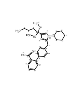 CCCCC(OC)(OC)c1nc(Cc2ccc(-c3ccccc3C(=O)O)cc2)n(C2CCCCC2)n1